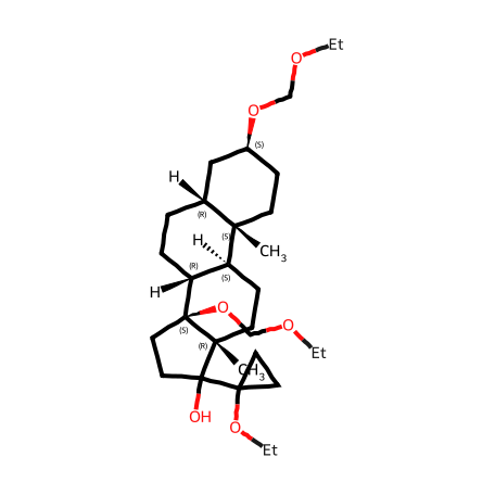 CCOCO[C@H]1CC[C@@]2(C)[C@H](CC[C@@H]3[C@@H]2CC[C@]2(C)C(O)(C4(OCC)CC4)CC[C@]32OCOCC)C1